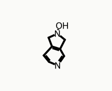 ON1Cc2ccncc2C1